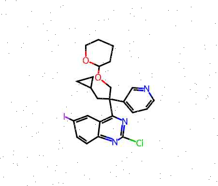 Clc1nc(C(COC2CCCCO2)(CC2CC2)c2cccnc2)c2cc(I)ccc2n1